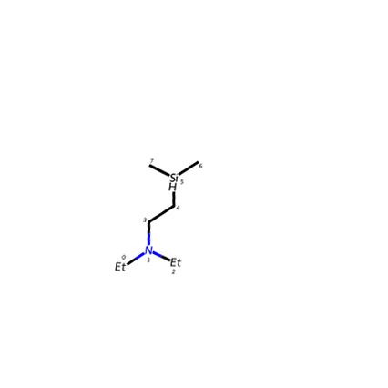 CCN(CC)CC[SiH](C)C